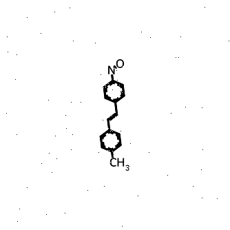 Cc1ccc(/C=C/c2ccc(N=O)cc2)cc1